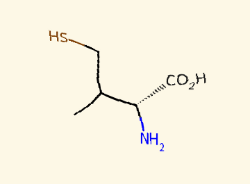 CC(CS)[C@@H](N)C(=O)O